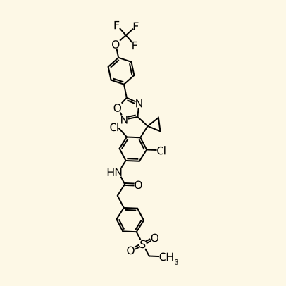 CCS(=O)(=O)c1ccc(CC(=O)Nc2cc(Cl)c(C3(c4noc(-c5ccc(OC(F)(F)F)cc5)n4)CC3)c(Cl)c2)cc1